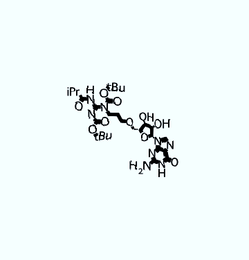 CC(C)C(=O)NC(=NC(=O)OC(C)(C)C)N(CCCOC[C@H]1O[C@@H](n2cnc3c(=O)[nH]c(N)nc32)[C@H](O)[C@@H]1O)C(=O)OC(C)(C)C